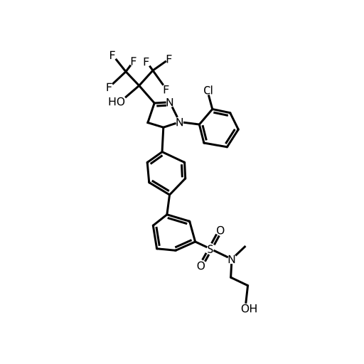 CN(CCO)S(=O)(=O)c1cccc(-c2ccc(C3CC(C(O)(C(F)(F)F)C(F)(F)F)=NN3c3ccccc3Cl)cc2)c1